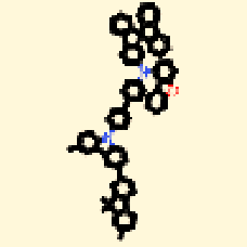 Cc1ccc2c(c1)C(C)(C)c1cc(-c3ccc4c(c3)c3cc(C)ccc3n4-c3ccc(-c4ccc(N(c5ccc6c(c5)C5(c7ccccc7-c7ccccc75)c5ccccc5-6)c5cccc6oc7ccccc7c56)cc4)cc3)ccc1-2